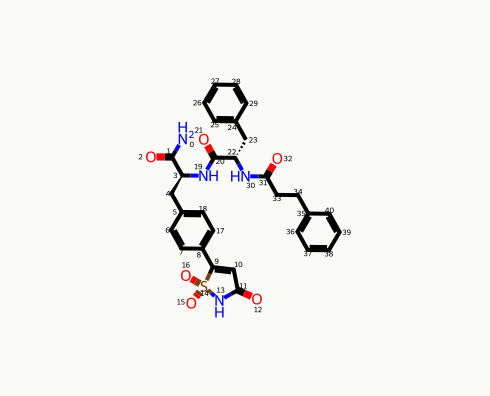 NC(=O)[C@H](Cc1ccc(C2=CC(=O)NS2(=O)=O)cc1)NC(=O)[C@H](Cc1ccccc1)NC(=O)CCc1ccccc1